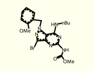 CCCCNc1nc(NC(=O)OC)nc2c(Br)nn(Cc3ccccc3OC)c12